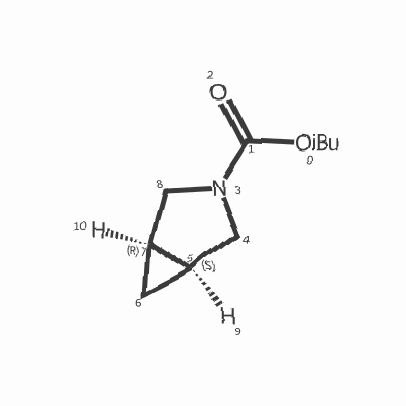 CC(C)COC(=O)N1C[C@H]2C[C@H]2C1